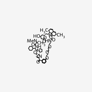 CN[C@@H](C)C(=O)N[C@H](C(=O)N1CCC[C@@H]1c1nc(C(=O)c2cccc(OCCOCCOCCNC(=O)O[C@H]3C[C@@H](C)C=C4C=C[C@H](C)[C@H](CC[C@@H]5C[C@@H](O)CC(=O)O5)[C@H]43)c2)cs1)C1CCCCC1